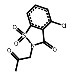 CC(=O)CN1C(=O)c2c(Cl)cccc2S1(=O)=O